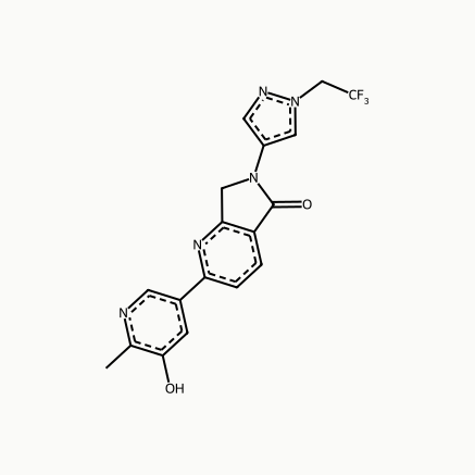 Cc1ncc(-c2ccc3c(n2)CN(c2cnn(CC(F)(F)F)c2)C3=O)cc1O